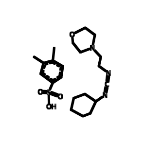 C(=NCCN1CCOCC1)=NC1CCCCC1.Cc1ccc(S(=O)(=O)O)cc1C